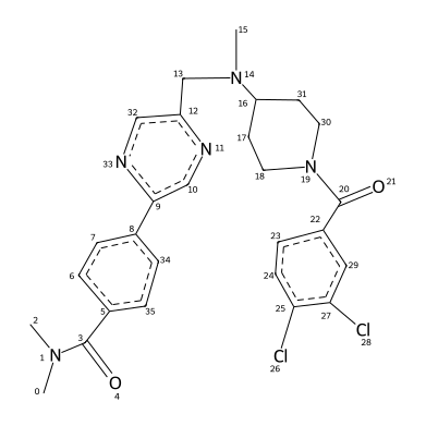 CN(C)C(=O)c1ccc(-c2cnc(CN(C)C3CCN(C(=O)c4ccc(Cl)c(Cl)c4)CC3)cn2)cc1